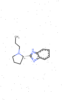 CCCN1CCC[C@H]1c1nc2ccccc2[nH]1